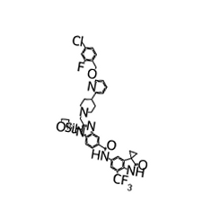 O=C(Nc1cc(C(F)(F)F)c2c(c1)C1(CC1)C(=O)N2)c1ccc2c(c1)nc(CN1CCC(c3cccc(OCc4ccc(Cl)cc4F)n3)CC1)n2C[Si@@H]1CCO1